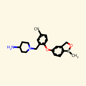 [C-]#[N+]c1ccc(Oc2ccc3c(c2)COB3C)c(CN2CCC(N)CC2)c1